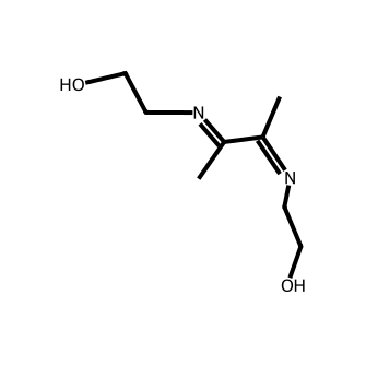 CC(=NCCO)C(C)=NCCO